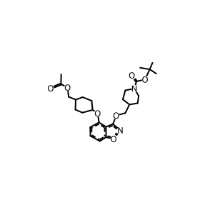 CC(=O)OCC1CCC(Oc2cccc3onc(OCC4CCN(C(=O)OC(C)(C)C)CC4)c23)CC1